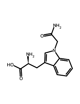 NC(=O)Cn1cc(C[C@H](N)C(=O)O)c2ccccc21